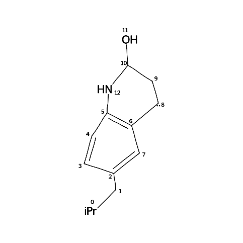 CC(C)Cc1ccc2c(c1)[C]CC(O)N2